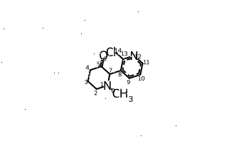 CN1CCCC(=O)C1c1cccnc1Cl